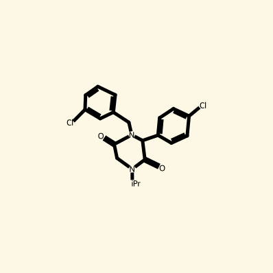 CC(C)N1CC(=O)N(Cc2cccc(Cl)c2)C(c2ccc(Cl)cc2)C1=O